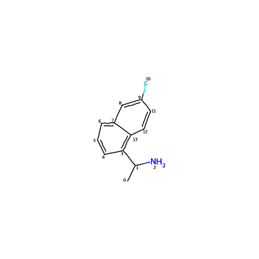 CC(N)c1cccc2cc(F)ccc12